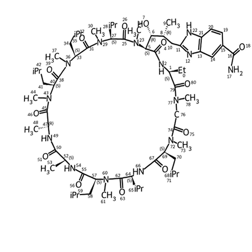 CC[C@@H]1NC(=O)[C@H]([C@H](O)[C@H](C)Cc2nc3cc(C(N)=O)ccc3[nH]2)N(C)C(=O)[C@H](C(C)C)N(C)C(=O)[C@H](CC(C)C)N(C)C(=O)[C@H](CC(C)C)N(C)C(=O)[C@@H](C)NC(=O)[C@H](C)NC(=O)[C@H](CC(C)C)N(C)C(=O)[C@H](C(C)C)NC(=O)[C@H](CC(C)C)N(C)C(=O)CN(C)C1=O